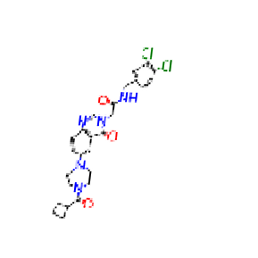 O=C(Cn1cnc2ccc(N3CCN(C(=O)C4CCC4)CC3)cc2c1=O)NCc1ccc(Cl)c(Cl)c1